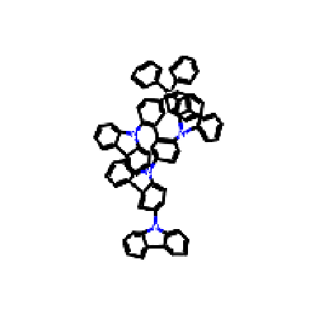 c1ccc([Si](c2ccccc2)(c2ccccc2)c2ccc(-n3c4ccccc4c4ccccc43)c(-c3cc(-n4c5ccccc5c5cc(-n6c7ccccc7c7ccccc76)ccc54)ccc3-n3c4ccccc4c4ccccc43)c2)cc1